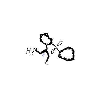 N/C=C(/C=O)c1ccccc1S(=O)(=O)c1ccccc1